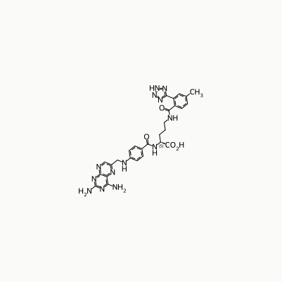 Cc1ccc(C(=O)NCCC[C@H](NC(=O)c2ccc(NCc3cnc4nc(N)nc(N)c4n3)cc2)C(=O)O)c(-c2nn[nH]n2)c1